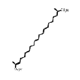 CC(=CCCCCCCCCCCCCCCCC=C(C)C(=O)O)C(=O)O